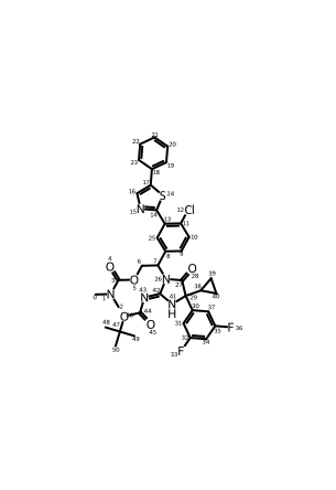 CN(C)C(=O)OCC(c1ccc(Cl)c(-c2ncc(-c3ccccc3)s2)c1)N1C(=O)C(c2cc(F)cc(F)c2)(C2CC2)NC1=NC(=O)OC(C)(C)C